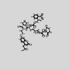 CC(=O)Cc1cc(=O)oc2cc(OCCOC(=O)[C@@H]3CCCN3C(=O)[C@H](CCCCNC(=O)ON3C(=O)CCC3=O)NC(=O)OCC(C)c3ccccc3[N+](=O)[O-])ccc12